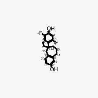 CCC1(c2cc(F)c(O)cc2F)CCCc2cc(O)ccc2C1